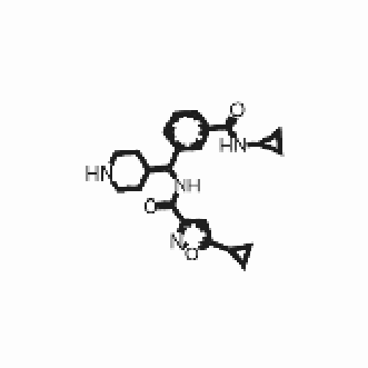 O=C(NC1CC1)c1cccc(C(NC(=O)c2cc(C3CC3)on2)C2CCNCC2)c1